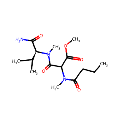 CCCC(=O)N(C)C(C(=O)OC)C(=O)N(C)[C@H](C(N)=O)C(C)C